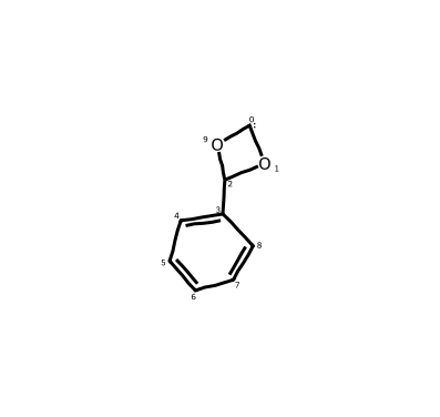 [C]1OC(c2ccccc2)O1